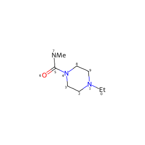 CCN1CCN(C(=O)NC)CC1